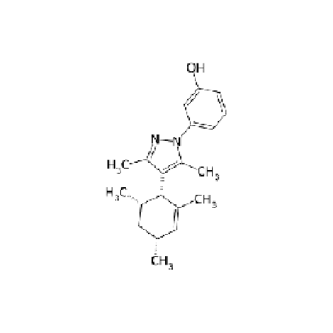 CC1=C[C@H](C)C[C@H](C)[C@@H]1c1c(C)nn(-c2cccc(O)c2)c1C